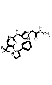 CNC(=O)Cn1cc(Nc2ncc(C(F)(F)F)c(N3OCCC3c3ccccc3)n2)cn1